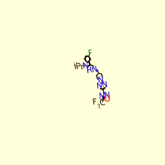 CC(C)n1cc(CNCC2CCN(c3ncc(-c4noc(C(F)(F)F)n4)cn3)CC2)c2cc(F)ccc21